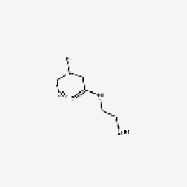 CCN(CC(=O)O)CC(=O)NCCC=O